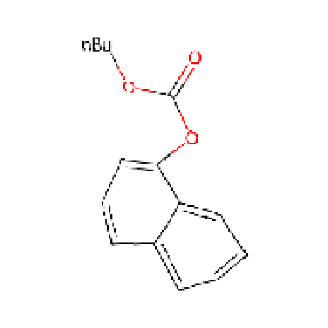 CCCCOC(=O)Oc1cccc2ccccc12